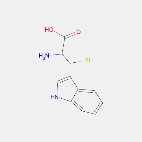 NC(C(=O)O)C(S)c1c[nH]c2ccccc12